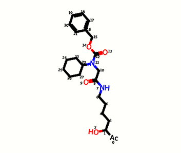 CC(=O)C(O)CCCCNC(=O)CN(C(=O)OCc1ccccc1)C1CCCCC1